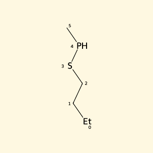 CCCCSPC